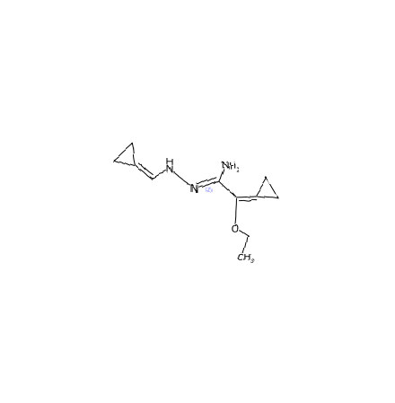 CCOC(=C1CC1)/C(N)=N/NC=C1CC1